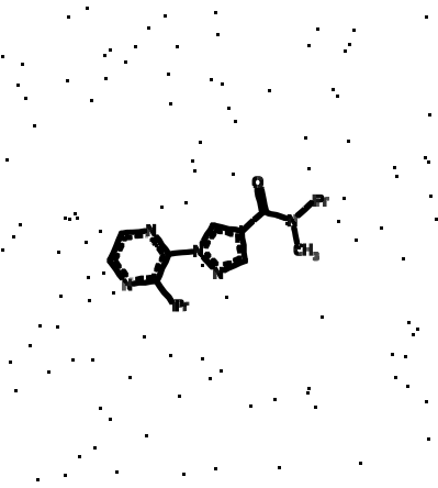 CC(C)c1nccnc1-n1cc(C(=O)N(C)C(C)C)cn1